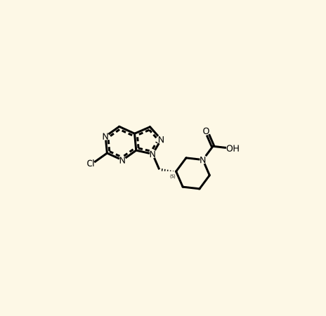 O=C(O)N1CCC[C@H](Cn2ncc3cnc(Cl)nc32)C1